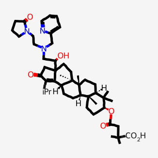 CC(C)C1=C2[C@H]3CC[C@@H]4[C@@]5(C)CC[C@H](OC(=O)CC(C)(C)C(=O)O)C(C)(C)[C@@H]5CC[C@@]4(C)[C@]3(C)CCC2(C(O)CN(CCN2CCCC2=O)Cc2ccccn2)CC1=O